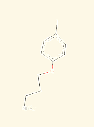 CC(=O)NCCCOc1ccc(C)cc1